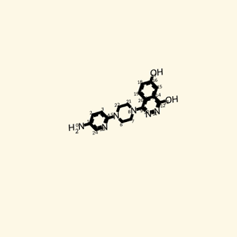 Nc1ccc(N2CCN(c3nnc(O)c4cc(O)ccc34)CC2)nc1